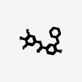 O=C(Sc1cc(F)c(F)c(F)c1)c1ccc(F)c(SC2CCCCC2)c1